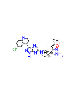 Cc1cc([C@@]2(CN)[C@@H]3CCN(c4cnc5c(-c6ccnc7ccc(Cl)cc67)n[nH]c5n4)C[C@@H]32)no1